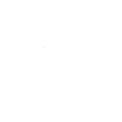 CNC(=O)c1ccc(OCc2ccccc2)c(OC)c1N